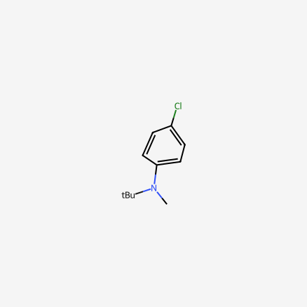 CN(c1ccc(Cl)cc1)C(C)(C)C